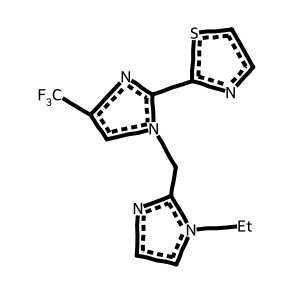 CCn1ccnc1Cn1cc(C(F)(F)F)nc1-c1nccs1